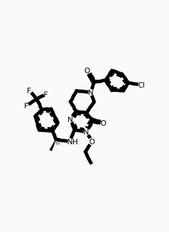 CCOn1c(N[C@@H](C)c2ccc(C(F)(F)F)cc2)nc2c(c1=O)CN(C(=O)c1ccc(Cl)cc1)CC2